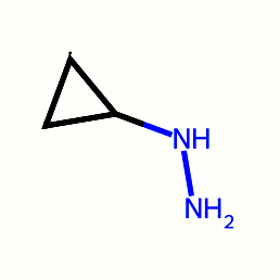 NNC1[CH]C1